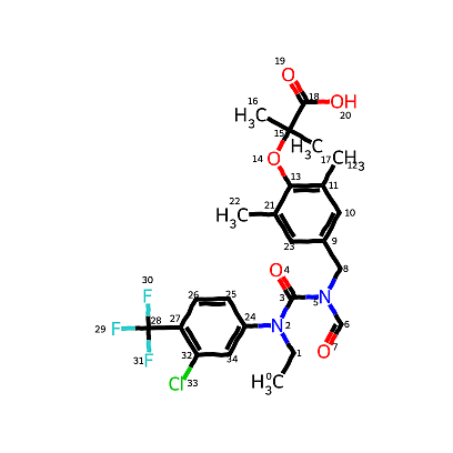 CCN(C(=O)N(C=O)Cc1cc(C)c(OC(C)(C)C(=O)O)c(C)c1)c1ccc(C(F)(F)F)c(Cl)c1